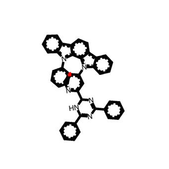 c1ccc(C2=NC(c3cc(-n4c5ccccc5c5ccc6c7ccccc7n(-c7ccccc7)c6c54)ccn3)NC(c3ccccc3)=N2)cc1